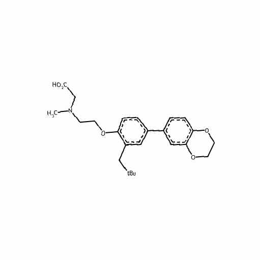 CN(CCOc1ccc(-c2ccc3c(c2)OCCO3)cc1CC(C)(C)C)CC(=O)O